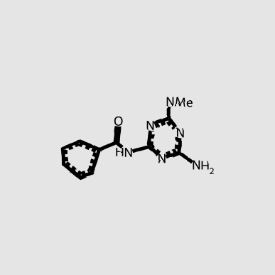 CNc1nc(N)nc(NC(=O)c2ccccc2)n1